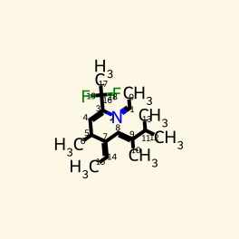 C/C=N\C(=C/C(C)C(/C=C(\C)C(C)C)=C\C)C(C)(F)F